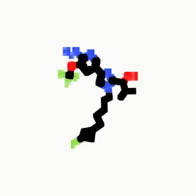 CC(C)C(O)c1nc(-c2cnc(N)c(OC(F)(F)F)c2)cn1CCCCCC12CC(F)(C1)C2